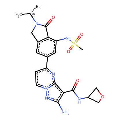 CC[C@H](N1Cc2cc(-c3ccn4nc(N)c(C(=O)NC5COC5)c4n3)cc(NS(C)(=O)=O)c2C1=O)C(F)(F)F